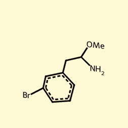 COC(N)Cc1cccc(Br)c1